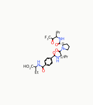 CCC(NC(=O)c1ccc(C(=O)N[C@H](C(=O)N2CCC[C@H]2C(=O)NC(C(=O)C(F)(F)F)C(C)C)C(C)C)cc1)C(=O)O